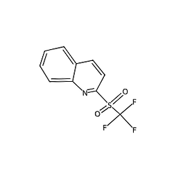 O=S(=O)(c1ccc2ccccc2n1)C(F)(F)F